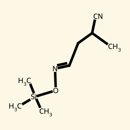 CC(C#N)C/C=N/O[Si](C)(C)C